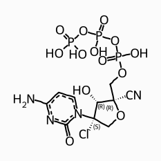 N#C[C@]1(COP(=O)(O)OP(=O)(O)OP(=O)(O)O)OC[C@@](Cl)(n2ccc(N)nc2=O)[C@@H]1O